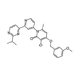 COc1cccc(COc2cc(C)n(-c3ccnc(-c4ccnc(C(C)C)n4)c3)c(=O)c2Cl)c1